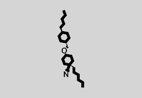 CCCCCC[C@]1(C#N)CC[C@H](OC[C@H]2CC[C@H](CCCCC)CC2)CC1